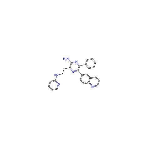 Nc1nc(-c2ccccc2)c(-c2ccc3ncccc3c2)nc1CCNc1ccccn1